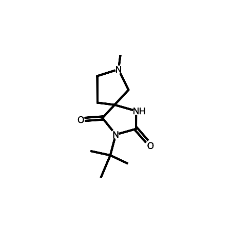 CN1CCC2(C1)NC(=O)N(C(C)(C)C)C2=O